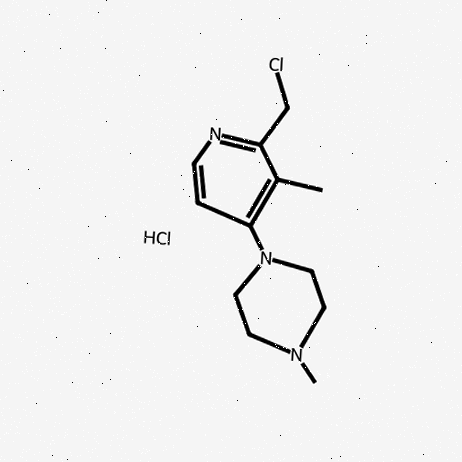 Cc1c(N2CCN(C)CC2)ccnc1CCl.Cl